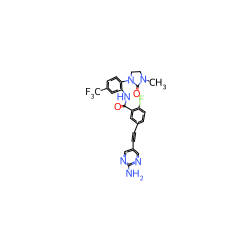 CN1CCN(c2ccc(C(F)(F)F)cc2NC(=O)c2cc(C#Cc3cnc(N)nc3)ccc2F)C1=O